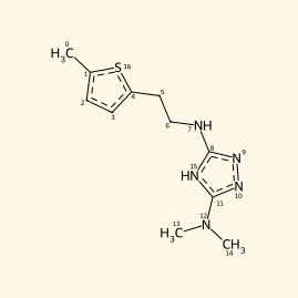 Cc1ccc(CCNc2nnc(N(C)C)[nH]2)s1